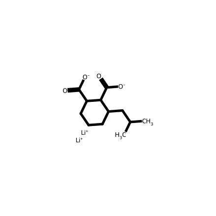 CC(C)CC1CCCC(C(=O)[O-])C1C(=O)[O-].[Li+].[Li+]